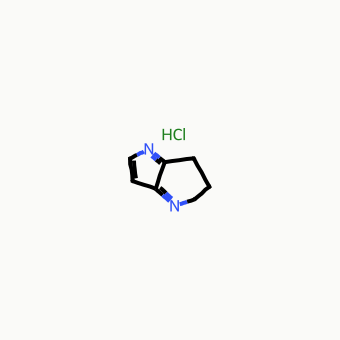 C1=CC2=NCCCC2=N1.Cl